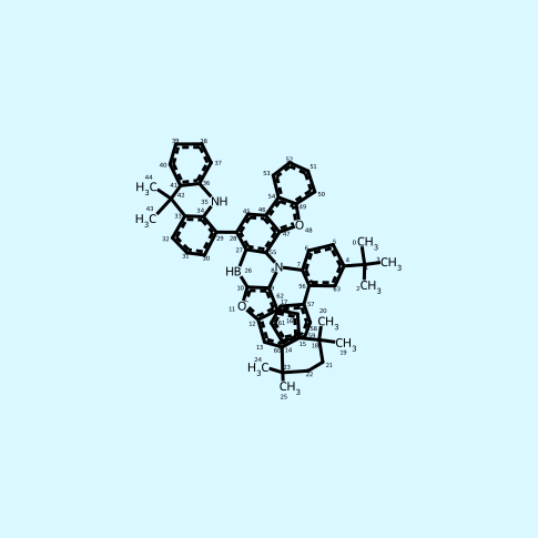 CC(C)(C)c1ccc(N2c3c(oc4cc5c(cc34)C(C)(C)CCC5(C)C)Bc3c(-c4cccc5c4Nc4ccccc4C5(C)C)cc4c(oc5ccccc54)c32)c(-c2ccccc2)c1